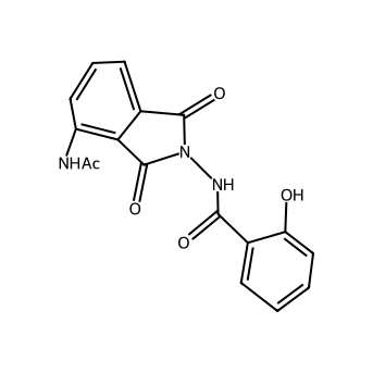 CC(=O)Nc1cccc2c1C(=O)N(NC(=O)c1ccccc1O)C2=O